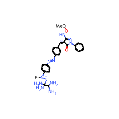 CCN(NC(N)(N)C(N)N)c1ccc(/N=N/c2ccc(/C=C3\C(=O)N(c4ccccc4)N=C3NOOC)cc2)cc1